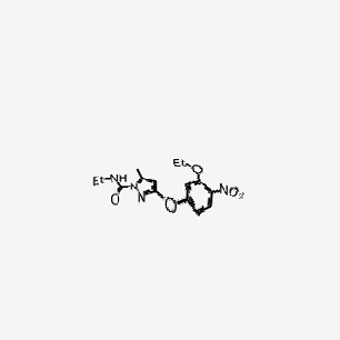 CCNC(=O)n1nc(Oc2ccc([N+](=O)[O-])c(OCC)c2)cc1C